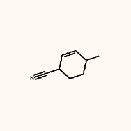 N#CC1C=CC(I)CC1